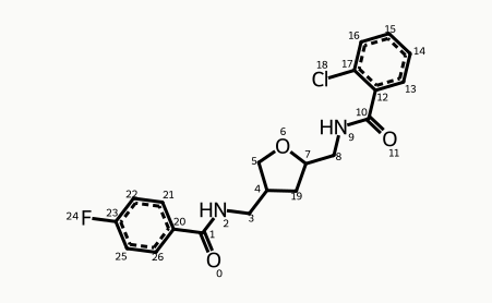 O=C(NCC1COC(CNC(=O)c2ccccc2Cl)C1)c1ccc(F)cc1